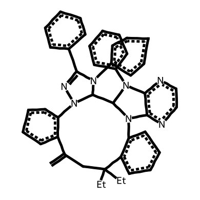 C=C1CC(CC)(CC)c2ccccc2N2c3nccnc3N(c3ccccc3)C2C2N(N=C(c3ccccc3)N2c2ccccc2)c2ccccc21